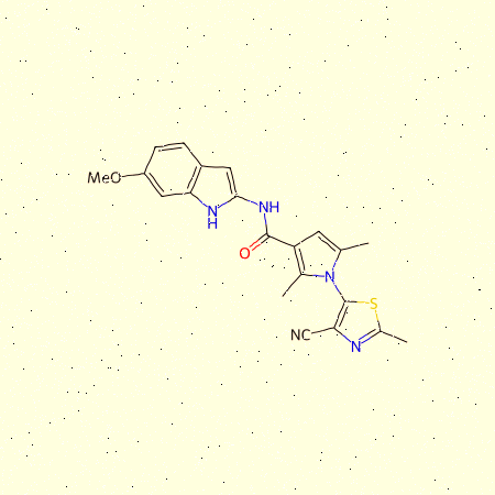 COc1ccc2cc(NC(=O)c3cc(C)n(-c4sc(C)nc4C#N)c3C)[nH]c2c1